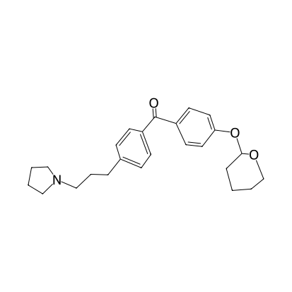 O=C(c1ccc(CCCN2CCCC2)cc1)c1ccc(OC2CCCCO2)cc1